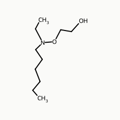 CCCCCCN(CC)OCCO